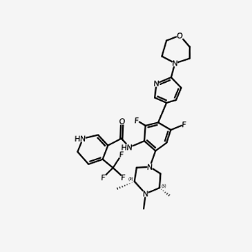 C[C@@H]1CN(c2cc(F)c(-c3ccc(N4CCOCC4)nc3)c(F)c2NC(=O)C2=CNCC=C2C(F)(F)F)C[C@H](C)N1C